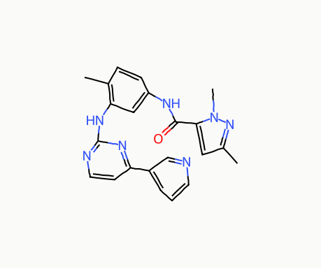 Cc1cc(C(=O)Nc2ccc(C)c(Nc3nccc(-c4cccnc4)n3)c2)n(C)n1